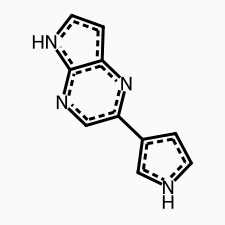 c1cc(-c2cnc3[nH]ccc3n2)c[nH]1